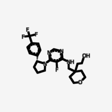 OCCC1(CNc2ncnc(N3CCC[C@@H]3c3ccc(C(F)(F)F)cc3)c2F)CCOCC1